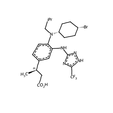 CC(C)CN(c1ccc([C@H](C)CC(=O)O)cc1Nc1n[nH]c(C(F)(F)F)n1)[C@H]1CC[C@@H](Br)CC1